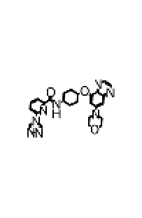 O=C(N[C@H]1CC[C@@H](Oc2cc(N3CCOCC3)cc3nccnc23)CC1)c1cccc(-n2cnnc2)n1